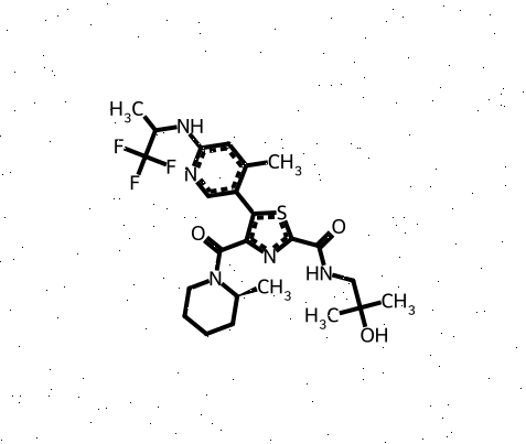 Cc1cc(NC(C)C(F)(F)F)ncc1-c1sc(C(=O)NCC(C)(C)O)nc1C(=O)N1CCCC[C@@H]1C